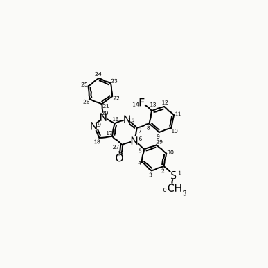 CSc1ccc(-n2c(-c3ccccc3F)nc3c(cnn3-c3ccccc3)c2=O)cc1